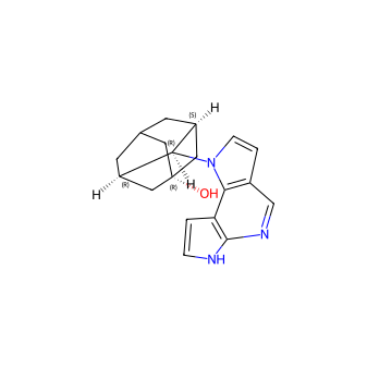 O[C@@]12CC3C[C@H](C1)[C@H](n1ccc4cnc5[nH]ccc5c41)[C@@H](C3)C2